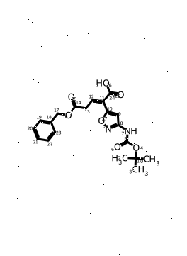 CC(C)(C)OC(=O)Nc1cc(/C(=C\CC(=O)OCc2ccccc2)C(=O)O)on1